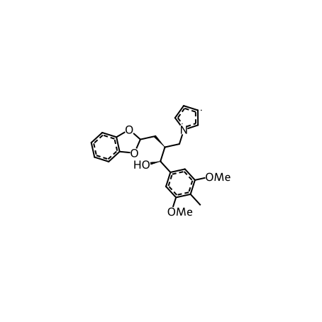 COc1cc([C@@H](O)[C@@H](CC2Oc3ccccc3O2)Cn2c[c]cc2)cc(OC)c1C